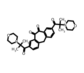 CC(C)(C(=O)c1ccc2c(c1)C(=O)C(=O)c1cc(C(=O)C(C)(C)N3CCOCC3)ccc1C2)N1CCOCC1